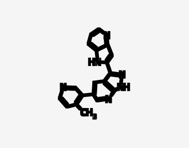 Cc1ccncc1-c1cnc2[nH]nc(-c3cc4ncccc4[nH]3)c2c1